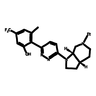 CCN1CC[C@@H]2CCN(c3ccc(-c4c(C)cc(C(F)(F)F)cc4O)nn3)[C@@H]2C1